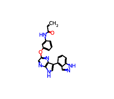 C=CC(=O)Nc1cccc(Oc2cnc3[nH]cc(-c4cccc5[nH]ncc45)c3n2)c1